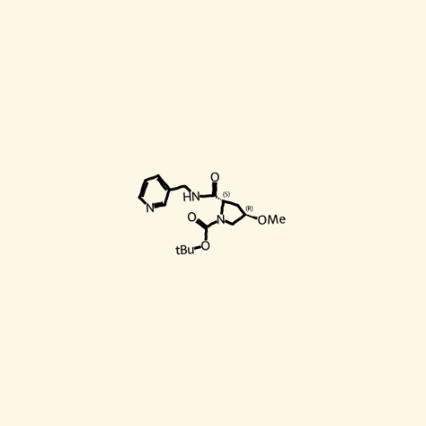 CO[C@@H]1C[C@@H](C(=O)NCc2cccnc2)N(C(=O)OC(C)(C)C)C1